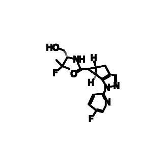 CC(C)(F)[C@H](CO)NC(=O)C1[C@@H]2Cc3cnn(-c4ccc(F)cn4)c3[C@@H]12